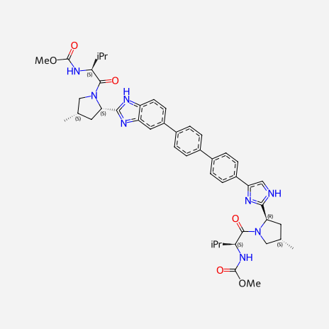 COC(=O)N[C@H](C(=O)N1C[C@@H](C)C[C@@H]1c1nc(-c2ccc(-c3ccc(-c4ccc5[nH]c([C@@H]6C[C@H](C)CN6C(=O)[C@@H](NC(=O)OC)C(C)C)nc5c4)cc3)cc2)c[nH]1)C(C)C